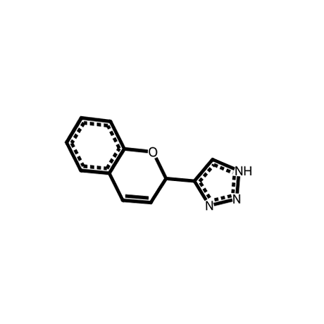 C1=CC(c2c[nH]nn2)Oc2ccccc21